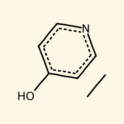 CC.Oc1ccncc1